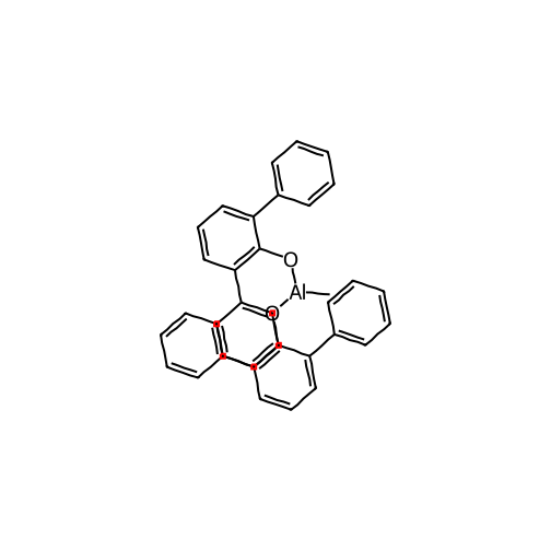 [CH3][Al]([O]c1c(-c2ccccc2)cccc1-c1ccccc1)[O]c1c(-c2ccccc2)cccc1-c1ccccc1